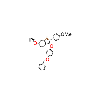 COc1ccc(-c2sc3cc(OC(C)C)ccc3c2Oc2ccc(OCc3ccccc3)cc2)cc1